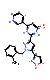 Cc1ccccc1Cn1nc(-c2nc(O)cc(-c3cccnc3)n2)cc1-c1ccon1